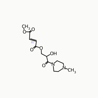 COC(=O)/C=C/C(=O)OCC(O)C(=O)N1CCN(C)CC1